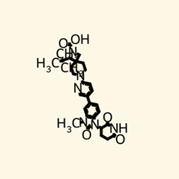 Cn1c(=O)n(C2CCC(=O)NC2=O)c2ccc(-c3ccc(N4CCC5(CC4)CN(C(=O)O)C5C(C)(C)C)nc3)cc21